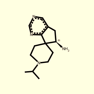 CC(C)N1CCC2(CC1)c1ncncc1C[C@H]2N